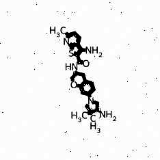 Cc1ccc2c(N)c(C(=O)N[C@H]3COc4cc(N5C[C@@H](N)C(C)(C)C5)ccc4C3)sc2n1